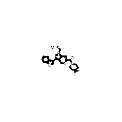 CSCn1nc(-c2coc3ccccc23)c2cnc(C(=O)N3CCC(F)(F)CC3)cc21